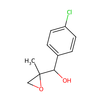 CC1(C(O)c2ccc(Cl)cc2)CO1